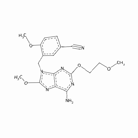 COCCOc1nc(N)c2nc(OC)n(Cc3cc(C#N)ccc3OC)c2n1